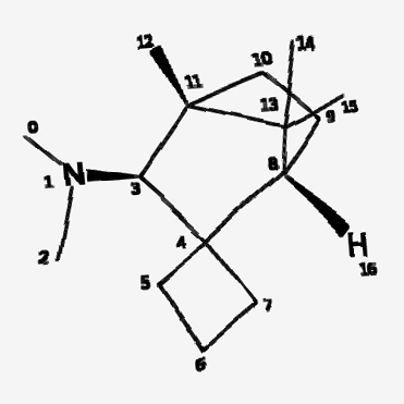 CN(C)[C@@H]1C2(CCC2)[C@H]2CC[C@]1(C)C2(C)C